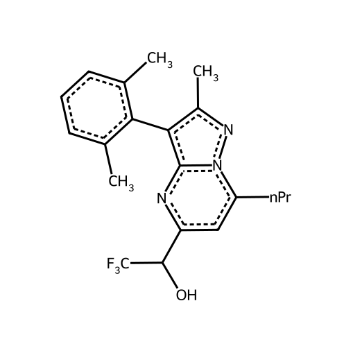 CCCc1cc(C(O)C(F)(F)F)nc2c(-c3c(C)cccc3C)c(C)nn12